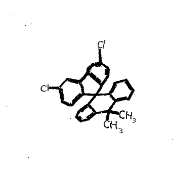 CC1(C)c2ccccc2C2(c3ccc(Cl)cc3-c3cc(Cl)ccc32)c2ccccc21